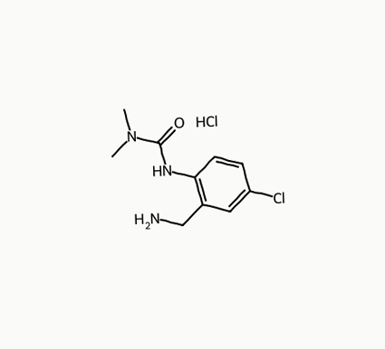 CN(C)C(=O)Nc1ccc(Cl)cc1CN.Cl